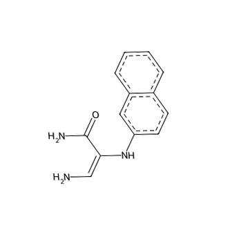 NC=C(Nc1ccc2ccccc2c1)C(N)=O